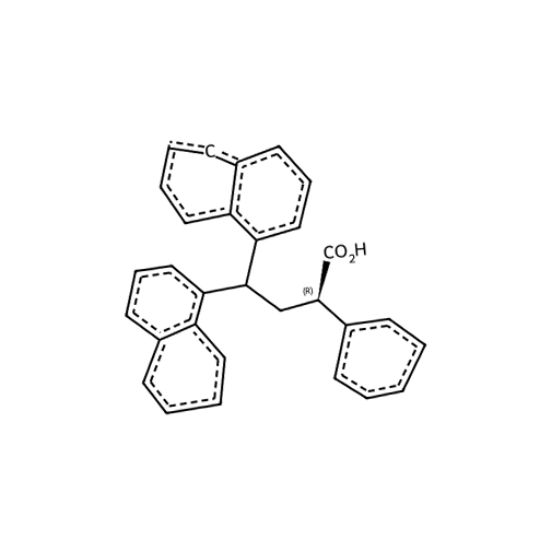 O=C(O)[C@H](CC(c1cccc2ccccc12)c1cccc2ccccc12)c1ccccc1